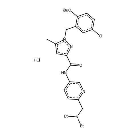 CCN(CC)Cc1ccc(NC(=O)c2cc(C)n(Cc3cc(Cl)ccc3OCC(C)C)n2)cn1.Cl